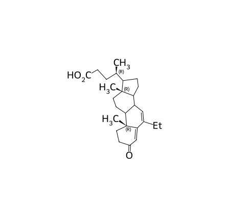 CCC1=CC2C3CCC([C@H](C)CCC(=O)O)[C@@]3(C)CCC2[C@@]2(C)CCC(=O)C=C12